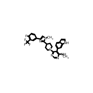 CNc1ncnc(N2CCC(c3nc(-c4ccc(F)c(C(F)(F)F)c4)cn3C)CC2)c1-c1ccc2cc[nH]c2c1